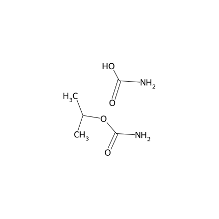 CC(C)OC(N)=O.NC(=O)O